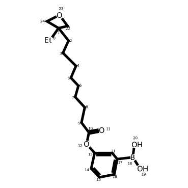 CCC1(CCCCCCCCC(=O)Oc2cccc(B(O)O)c2)COC1